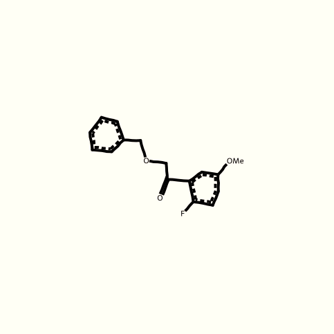 COc1ccc(F)c(C(=O)COCc2ccccc2)c1